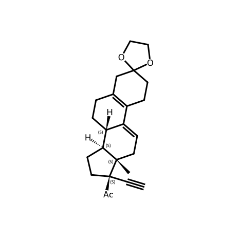 C#C[C@]1(C(C)=O)CC[C@H]2[C@@H]3CCC4=C(CCC5(C4)OCCO5)C3=CC[C@@]21C